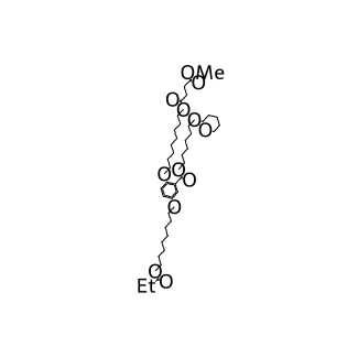 CCC(=O)OCCCCCCCCOc1ccc(OCCCCCCCCOC(=O)CCC(=O)OC)c(C(=O)OCCCCCCOC2CCCCO2)c1